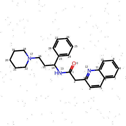 O=C(Cc1ccc2ccccc2n1)NC(CCN1CCCCC1)c1ccccc1